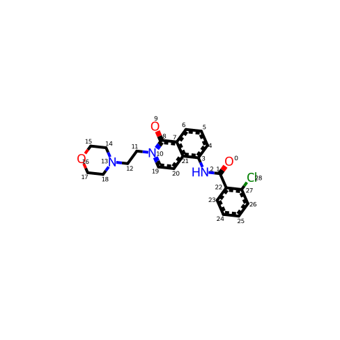 O=C(Nc1cccc2c(=O)n(CCN3CCOCC3)ccc12)c1ccccc1Cl